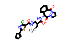 CCC(CNC(=O)c1sc(C2=CCCC2)nc1Cl)C(=O)N[C@@H]1C(=O)N2CCCN2C(=O)c2ccccc21